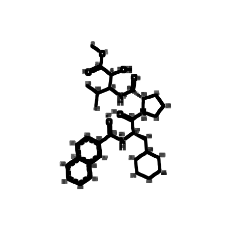 COC(=O)C(O)C(NC(=O)[C@@H]1CCCN1C(=O)[C@@H](CC1CCCCC1)NC(=O)c1ccc2ccccc2c1)C(C)C